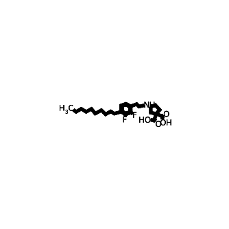 CCCCCCCCCCc1ccc(CCNC2CCC(C(=O)O)(C(=O)O)C2)c(F)c1F